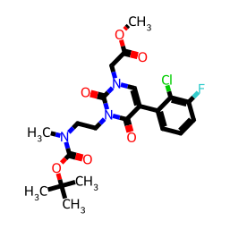 COC(=O)Cn1cc(-c2cccc(F)c2Cl)c(=O)n(CCN(C)C(=O)OC(C)(C)C)c1=O